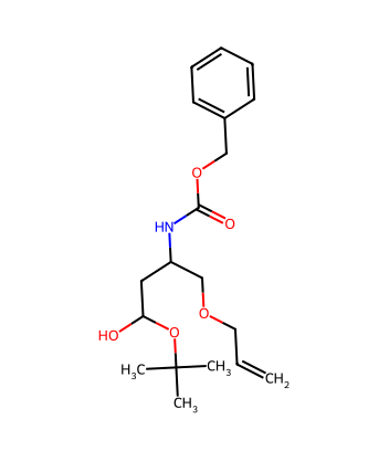 C=CCOCC(CC(O)OC(C)(C)C)NC(=O)OCc1ccccc1